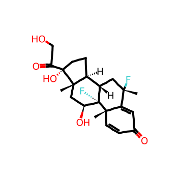 C[C@]1(F)C[C@H]2[C@@H]3CC[C@](O)(C(=O)CO)[C@@]3(C)C[C@H](O)[C@]2(F)[C@@]2(C)C=CC(=O)C=C12